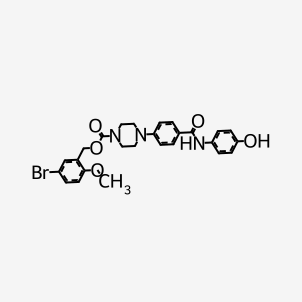 COc1ccc(Br)cc1COC(=O)N1CCN(c2ccc(C(=O)Nc3ccc(O)cc3)cc2)CC1